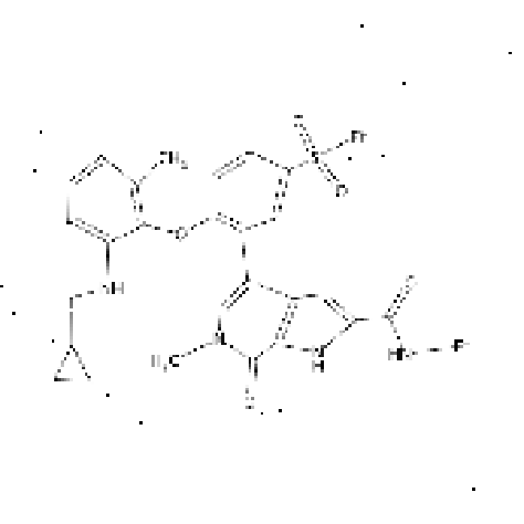 CCNC(=O)c1cc2c(-c3cc(S(=O)(=O)CC)ccc3Oc3c(C)cccc3NCC3CC3)cn(C)c(=O)c2[nH]1